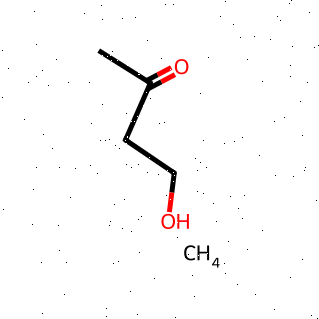 C.CC(=O)CCO